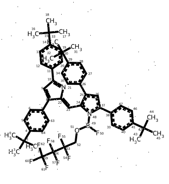 CC(C)(C)c1ccc(C2=CC(c3ccc(C(C)(C)C)cc3)=N/C2=C\c2c(-c3ccc(C(C)(C)C)cc3)cc(-c3ccc(C(C)(C)C)cc3)n2B(F)OCC(F)(F)C(F)(F)C(F)(F)F)cc1